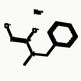 CN(Cc1ccccc1)[N+]([O-])=N[O-].[Na+]